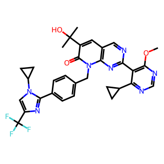 COc1ncnc(C2CC2)c1-c1ncc2cc(C(C)(C)O)c(=O)n(Cc3ccc(-c4nc(C(F)(F)F)cn4C4CC4)cc3)c2n1